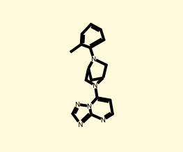 Cc1ccccc1N1CC2CC1CN2c1ccnc2ncnn12